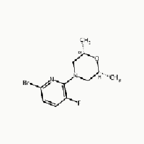 C[C@@H]1CN(c2nc(Br)ccc2F)C[C@H](C)O1